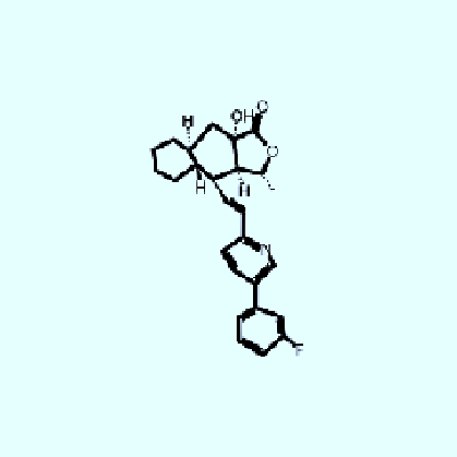 C[C@H]1OC(=O)[C@]2(O)C[C@@H]3CCCC[C@H]3[C@H](/C=C/c3ccc(-c4cccc(F)c4)cn3)[C@H]12